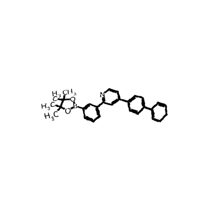 CC1(C)OB(c2cccc(-c3cc(-c4ccc(C5=CCCC=C5)cc4)ccn3)c2)OC1(C)C